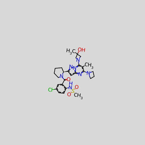 Cc1c(N2CCC2)nc2cc([C@@H]3CCCCN3C(=O)c3cc(Cl)ccc3NS(C)(=O)=O)nn2c1N1CC(C)(O)C1